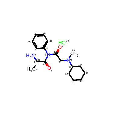 C[C@H](N)C(=O)N(C(=O)CN(C)C1CCCCC1)c1ccccc1.Cl